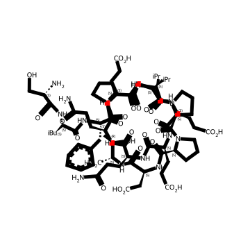 CC[C@H](C)[C@H](NC(=O)[C@@H](N)CO)C(=O)N[C@@H](Cc1ccccc1)C(=O)N1CCC[C@H]1C(=O)N[C@H](C(=O)N[C@@H](CCC(=O)O)C(=O)N[C@@H](CCC(=O)O)C(=O)N[C@@H](CCC(N)=O)C(=O)N[C@@H](CCC(N)=O)C(=O)N[C@@H](CCC(=O)O)C(=O)N[C@H](C(=O)N1CCC[C@H]1C(=O)N1CCC[C@H]1C(=O)N[C@@H](CC(=O)O)C(=O)N[C@H](C(=O)O)[C@@H](C)O)C(C)C)C(C)C